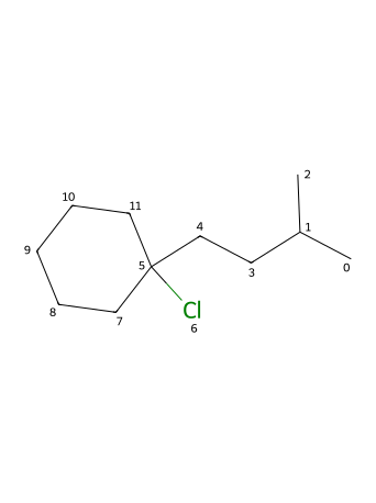 CC(C)CCC1(Cl)CCCCC1